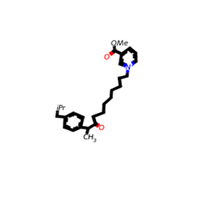 COC(=O)c1ccc[n+](CCCCCCCCC(=O)C(C)c2ccc(CC(C)C)cc2)c1